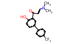 CN(C)/C=C/C(=O)c1cc(-c2ccc(C(F)(F)F)cc2)ccc1O